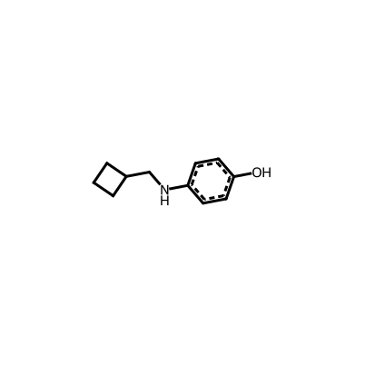 Oc1ccc(NCC2CCC2)cc1